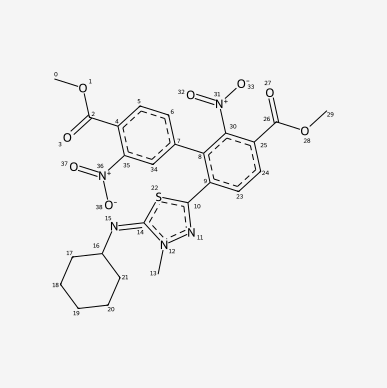 COC(=O)c1ccc(-c2c(-c3nn(C)c(=NC4CCCCC4)s3)ccc(C(=O)OC)c2[N+](=O)[O-])cc1[N+](=O)[O-]